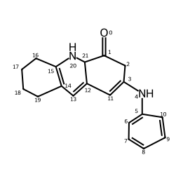 O=C1CC(Nc2ccccc2)=CC2=CC3=C(CCCC3)NC12